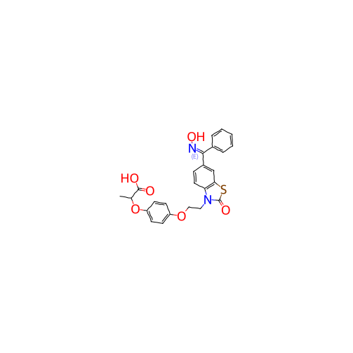 CC(Oc1ccc(OCCn2c(=O)sc3cc(/C(=N/O)c4ccccc4)ccc32)cc1)C(=O)O